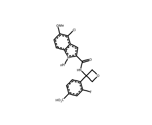 CCCn1c(C(=O)NC2(c3ccc(C(=O)O)cc3F)COC2)cc2c(Cl)c(OC)ccc21